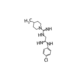 CC1CCN(C(=N)NCC(=N)Nc2ccc(Cl)cc2)CC1